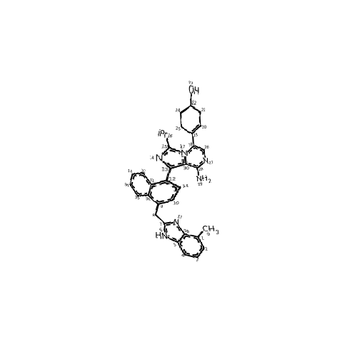 Cc1cccc2[nH]c(Cc3ccc(-c4nc(C(C)C)n5c(C6=CCC(O)CC6)cnc(N)c45)c4ccccc34)nc12